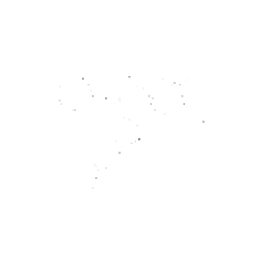 COc1cc(N2C(=O)C(CC(N)=O)SC2NC2CCCCC2)c(OC)cc1Cl